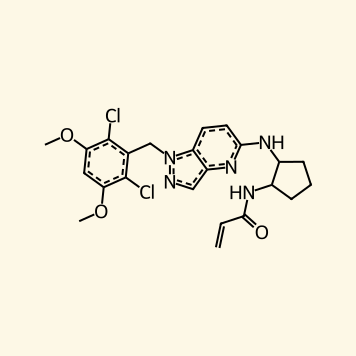 C=CC(=O)NC1CCCC1Nc1ccc2c(cnn2Cc2c(Cl)c(OC)cc(OC)c2Cl)n1